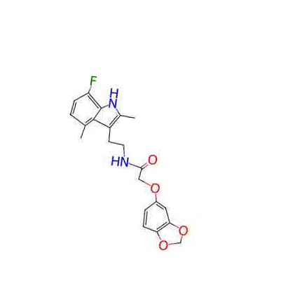 Cc1[nH]c2c(F)ccc(C)c2c1CCNC(=O)COc1ccc2c(c1)OCO2